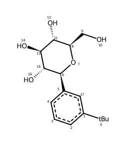 CC(C)(C)c1cccc([C@@H]2O[C@H](CO)[C@@H](O)[C@H](O)[C@H]2O)c1